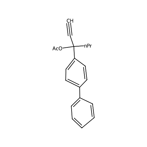 C#CC(CCC)(OC(C)=O)c1ccc(-c2ccccc2)cc1